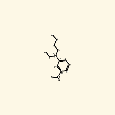 CCCCN(CC)c1cccc(OC)c1